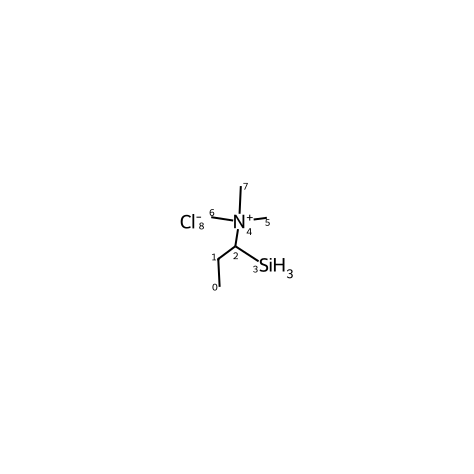 CCC([SiH3])[N+](C)(C)C.[Cl-]